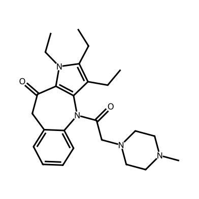 CCc1c2c(n(CC)c1CC)C(=O)Cc1ccccc1N2C(=O)CN1CCN(C)CC1